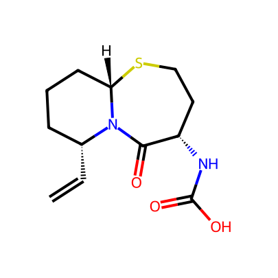 C=C[C@@H]1CCC[C@@H]2SCC[C@H](NC(=O)O)C(=O)N12